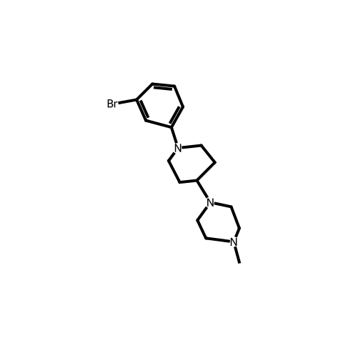 CN1CCN(C2CCN(c3cccc(Br)c3)CC2)CC1